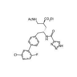 CCOC(=O)[C@H](CNC(C)=O)C[C@@H](Cc1ccc(-c2cc(Cl)ccc2F)cc1)NC(=O)c1c[nH]nn1